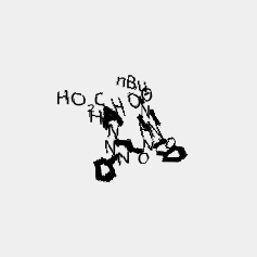 CCCCOC(=O)N1CCN(C(=O)[C@H](Cc2ccccc2)NC(=O)c2cc(N3C[C@@H]4[C@H](C3)[C@H]4C(=O)O)nc(-c3ccccc3)n2)CC1